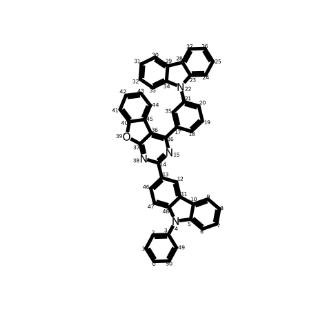 c1ccc(-n2c3ccccc3c3cc(-c4nc(-c5cccc(-n6c7ccccc7c7ccccc76)c5)c5c(n4)oc4ccccc45)ccc32)cc1